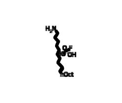 CCCCCCCCC=CCCCCCCCCN.O=P(O)(O)F